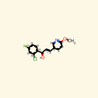 COc1ccc(/C=C/C(=O)c2ccc(F)cc2Cl)cn1